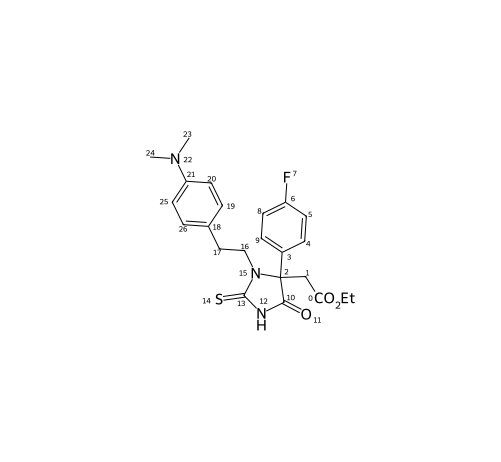 CCOC(=O)CC1(c2ccc(F)cc2)C(=O)NC(=S)N1CCc1ccc(N(C)C)cc1